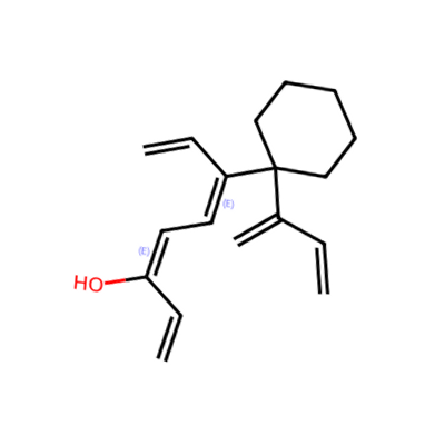 C=CC(=C)C1(/C(C=C)=C/C=C(/O)C=C)CCCCC1